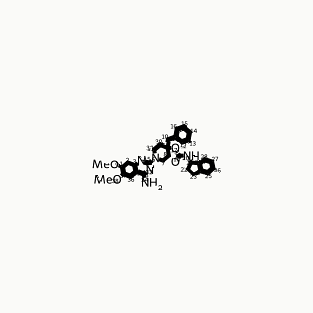 COc1cc2nc(N3CCC(Cc4ccccc4)(OC(=O)NC4CCc5ccccc54)CC3)nc(N)c2cc1OC